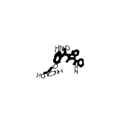 CC1=C(c2c[nH]c3c2CCCC3)c2ccccc2C1C1C(=O)Nc2ccc(OCC(O)CO)cc21